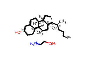 CC(C)CCC[C@@H](C)[C@H]1CC[C@H]2[C@@H]3CC=C4C[C@@H](O)CC[C@]4(C)[C@H]3CC[C@]12C.NCCO